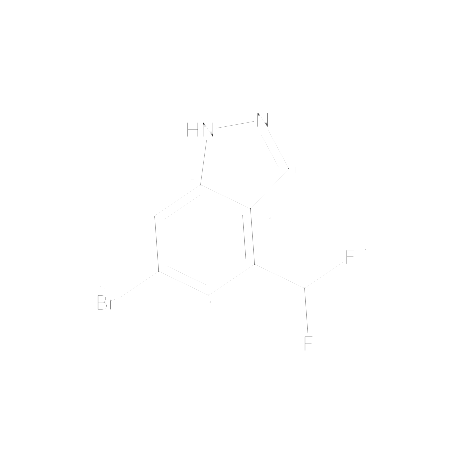 FC(F)c1cc(Br)cc2[nH]ncc12